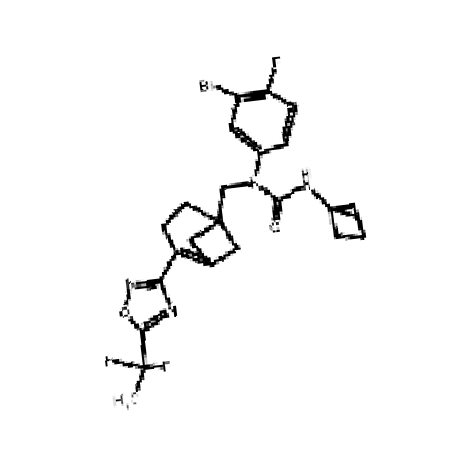 CC(F)(F)c1nc(C2=C3CC(CN(C(=O)NC45CC(C4)C5)c4ccc(F)c(Br)c4)(CC2)C3)no1